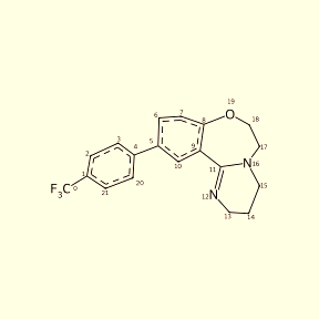 FC(F)(F)c1ccc(-c2ccc3c(c2)C2=NCCCN2CCO3)cc1